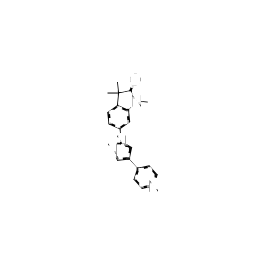 CN1C(=O)C(C)(C)c2ccc(-n3cc(-c4ccncc4)cn3)cc21